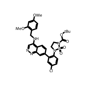 COc1ccc(CNc2cnnc3cc(-c4cc(Cl)ccc4N4CCN(C(=O)OC(C)(C)C)S4(=O)=O)ccc23)c(OC)c1